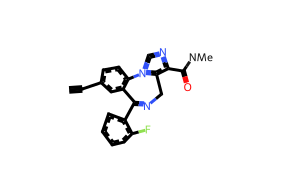 C#Cc1ccc2c(c1)C(c1ccccc1F)=NCc1c(C(=O)NC)ncn1-2